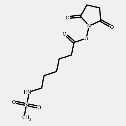 CS(=O)(=O)NCCCCCC(=O)ON1C(=O)CCC1=O